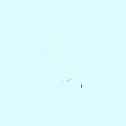 Cc1cnc(N2CCC3(CC2)CO[C@@H](C)[C@H]3N)cn1